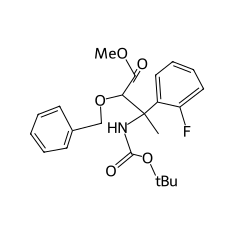 COC(=O)C(OCc1ccccc1)C(C)(NC(=O)OC(C)(C)C)c1ccccc1F